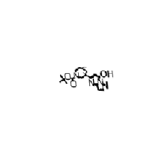 CC(C)(C)OC(=O)N1CCSC(c2cc(O)n3nccc3n2)C1